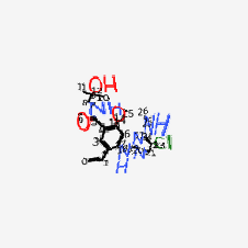 C=Cc1cc(C(=O)NCC(C)(C)O)c(OC)cc1Nc1ncc(Cl)c(NC)n1